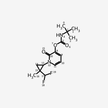 CC(C)(C)NC(=O)Oc1cccn(C2CC2(C)C(F)F)c1=O